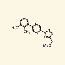 COCc1nnc(-c2cnc(-c3cccc(C)c3C)cn2)o1